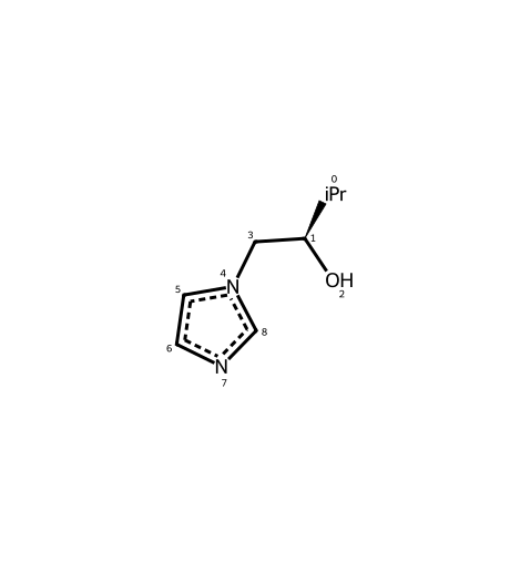 CC(C)[C@@H](O)Cn1ccnc1